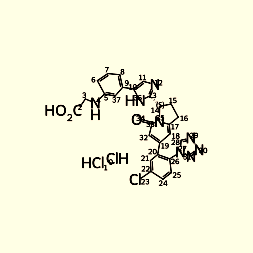 Cl.Cl.O=C(O)CNc1cccc(-c2cnc([C@@H]3CCc4cc(-c5cc(Cl)ccc5-n5cnnn5)cc(=O)n43)[nH]2)c1